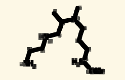 CO[SiH2]CCCN(C)C(C)CNCCN